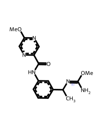 CO/C(N)=N/C(C)c1cccc(NC(=O)c2cnc(OC)cn2)c1